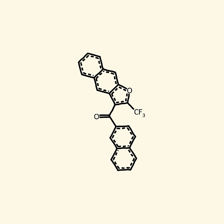 O=C(c1ccc2ccccc2c1)c1c(C(F)(F)F)oc2cc3ccccc3cc12